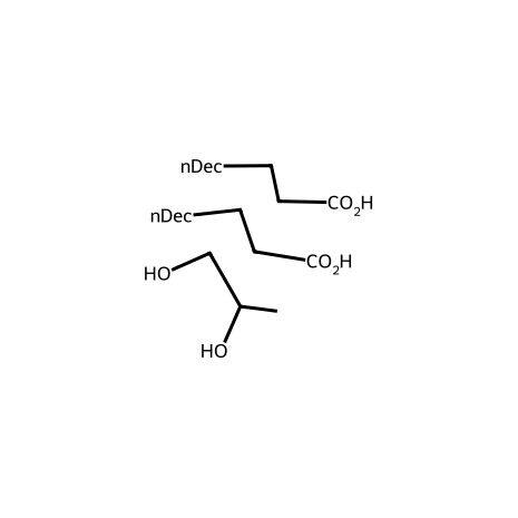 CC(O)CO.CCCCCCCCCCCCC(=O)O.CCCCCCCCCCCCC(=O)O